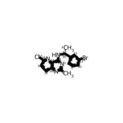 Cc1nc(N[C@H](C)c2cccc(Br)c2)c2nc(Cl)ccc2n1